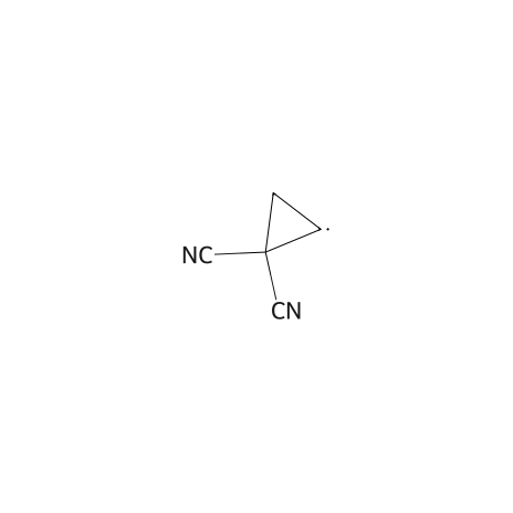 N#CC1(C#N)[CH]C1